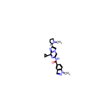 CN1CCC[C@@H]1c1cn2cc(NC(=O)c3ccc4c(cnn4C)c3)nc(C3CC3)c2n1